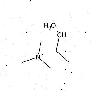 CCO.CN(C)C.O